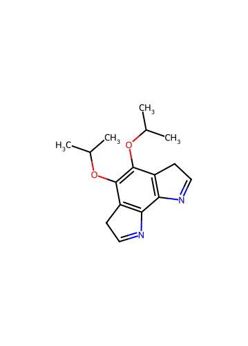 CC(C)Oc1c2c(c3c(c1OC(C)C)CC=N3)N=CC2